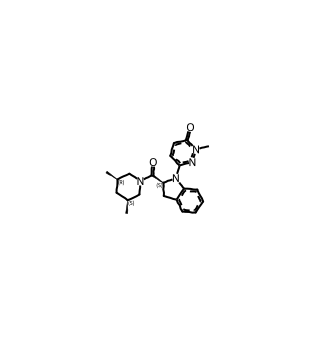 C[C@@H]1C[C@H](C)CN(C(=O)[C@@H]2Cc3ccccc3N2c2ccc(=O)n(C)n2)C1